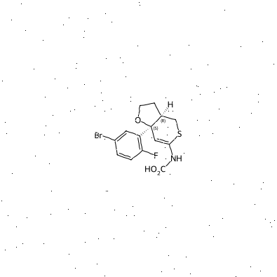 O=C(O)NC1=C[C@@]2(c3cc(Br)ccc3F)OCC[C@H]2CS1